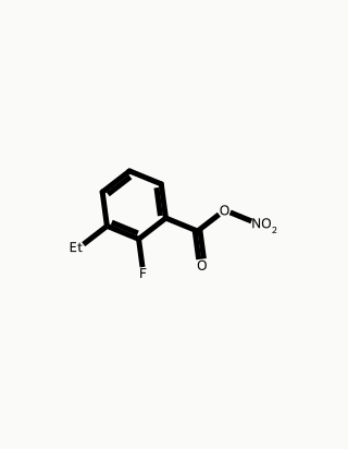 CCc1cccc(C(=O)O[N+](=O)[O-])c1F